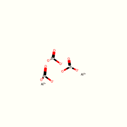 [Al+3].[Al+3].[O]=[Zr]([O-])[O-].[O]=[Zr]([O-])[O-].[O]=[Zr]([O-])[O-]